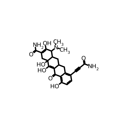 CN(C)C1C(O)=C(C(N)=O)CC2(O)C(O)=C3C(=O)c4c(O)ccc(C#CC(N)=O)c4CC3CC12